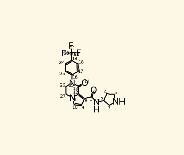 O=C(NC1CCNC1)c1ccn2c1C(=O)N(c1ccc(C(F)(F)F)cc1)CC2